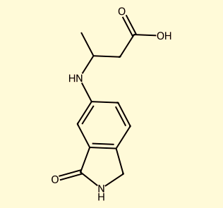 CC(CC(=O)O)Nc1ccc2c(c1)C(=O)NC2